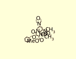 COC(=O)c1nc2c(N(C)S(C)(=O)=O)cc(N3CCOCC3)cn2c(=O)c1OCc1ccccc1